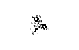 CC1C=C(NC2N(N)C(=O)N(C[C@H](C)C(=O)N=O)C(=O)N2Cc2ccc(Cl)cc2)C=CC1Br